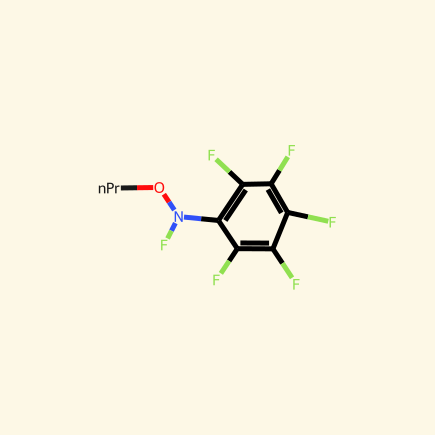 CCCON(F)c1c(F)c(F)c(F)c(F)c1F